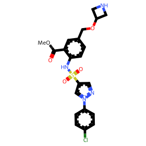 COC(=O)c1cc(COC2CNC2)ccc1NS(=O)(=O)c1cnn(-c2ccc(Cl)cc2)c1